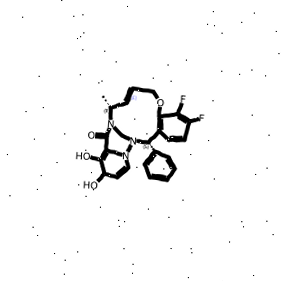 C[C@@H]1/C=C/COc2c(ccc(F)c2F)[C@H](c2ccccc2)N2CN1C(=O)C1=C(O)C(O)C=CN12